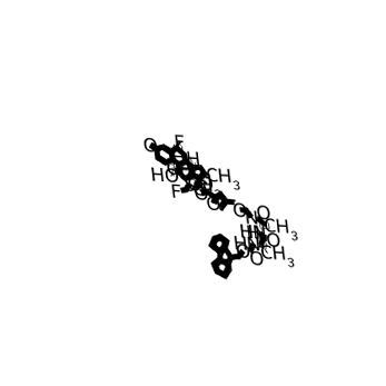 C[C@H](NC(=O)OCC1c2ccccc2-c2ccccc21)C(=O)N[C@@H](C)C(=O)NCOCc1coc(C(=O)O[C@]2(C(=O)SCF)[C@H](C)C[C@H]3[C@@H]4C[C@H](F)C5=CC(=O)C=C[C@]5(C)[C@@]4(F)[C@@H](O)C[C@@]32C)c1